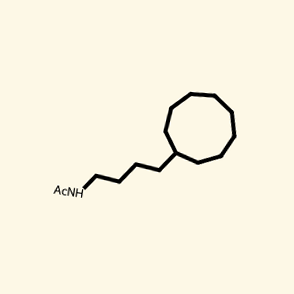 CC(=O)NCCCCC1CCCCCCCC1